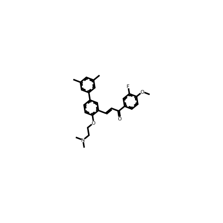 COc1ccc(C(=O)C=Cc2cc(-c3cc(C)cc(C)c3)ccc2OCCN(C)C)cc1F